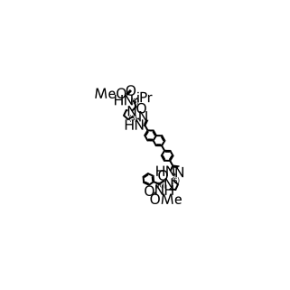 COC(=O)N[C@H](C(=O)N1CCC[C@H]1c1ncc(-c2ccc3cc(-c4ccc(-c5cnc([C@@H]6CCCN6C(=O)[C@H](NC(=O)OC)c6ccccc6)[nH]5)cc4)ccc3c2)[nH]1)C(C)C